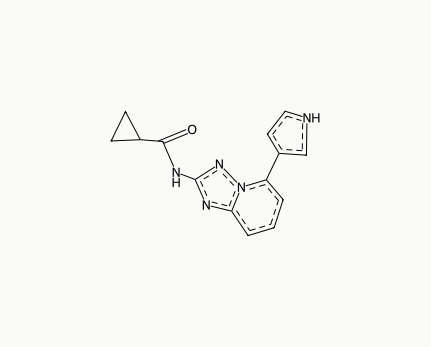 O=C(Nc1nc2cccc(-c3cc[nH]c3)n2n1)C1CC1